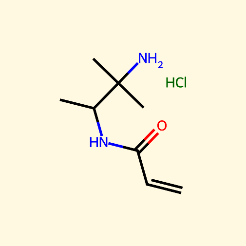 C=CC(=O)NC(C)C(C)(C)N.Cl